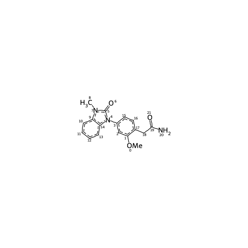 COc1cc(-n2c(=O)n(C)c3ccccc32)ccc1CC(N)=O